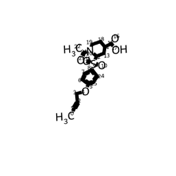 CC#CCOc1ccc(S(=O)(=O)C2CC(C(=O)O)CCN2C(C)=O)cc1